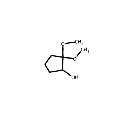 COC1(OC)CCCC1O